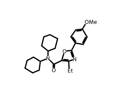 CCc1nc(-c2ccc(OC)cc2)oc1C(=O)N(C1CCCCC1)C1CCCCC1